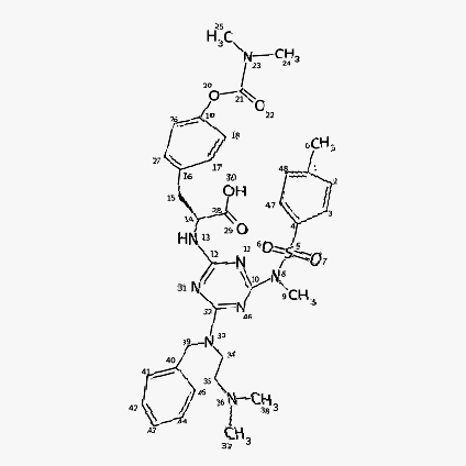 Cc1ccc(S(=O)(=O)N(C)c2nc(N[C@@H](Cc3ccc(OC(=O)N(C)C)cc3)C(=O)O)nc(N(CCN(C)C)Cc3ccccc3)n2)cc1